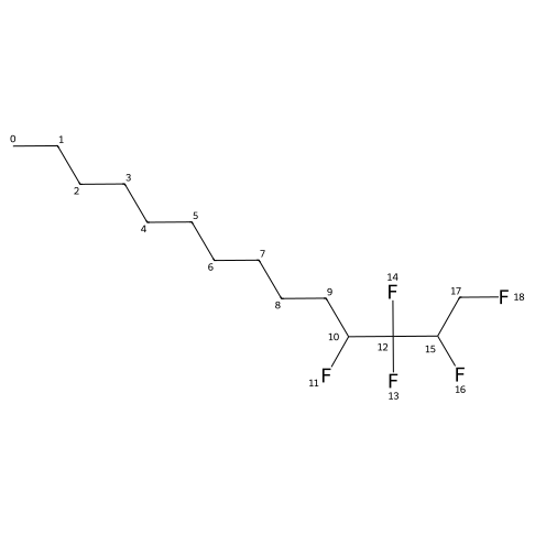 CCCCCCCCCCC(F)C(F)(F)C(F)CF